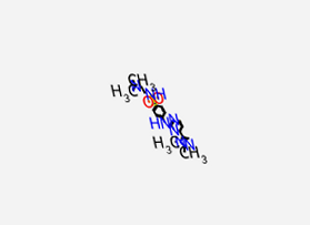 Cc1ncc(-c2ccnc(Nc3ccc(S(=O)(=O)NCCN(C)C)cc3)n2)n1C